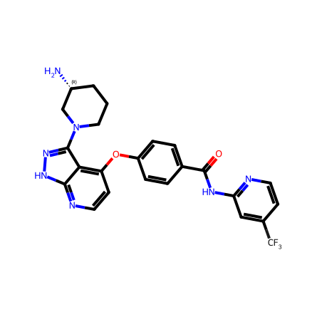 N[C@@H]1CCCN(c2n[nH]c3nccc(Oc4ccc(C(=O)Nc5cc(C(F)(F)F)ccn5)cc4)c23)C1